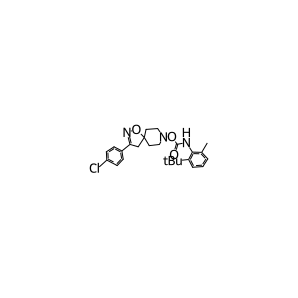 Cc1cccc(C(C)(C)C)c1NC(=O)ON1CCC2(CC1)CC(c1ccc(Cl)cc1)=NO2